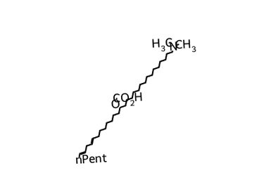 CCCCCC=CCC=CCCCCCCCC(CCCCCCCCCCCCCCCN(C)C)OC(=O)O